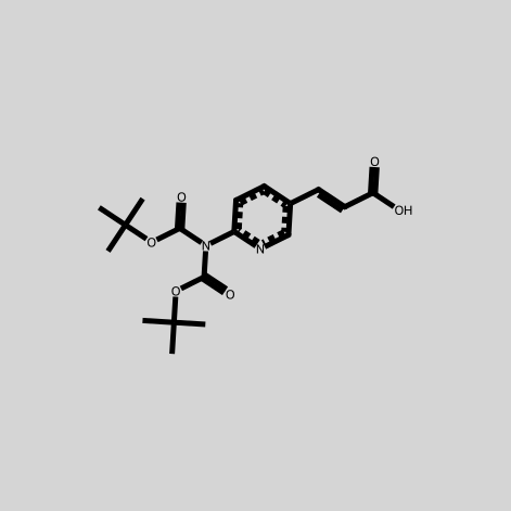 CC(C)(C)OC(=O)N(C(=O)OC(C)(C)C)c1ccc(C=CC(=O)O)cn1